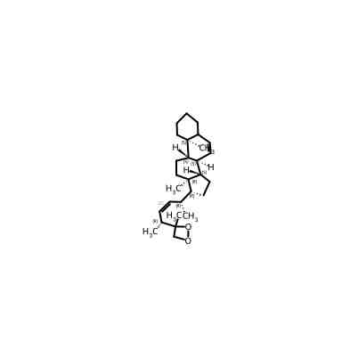 C[C@H](/C=C\[C@@H](C)C1(C)COO1)[C@H]1CC[C@H]2[C@@H]3C=CC4CCCC[C@]4(C)[C@H]3CC[C@]12C